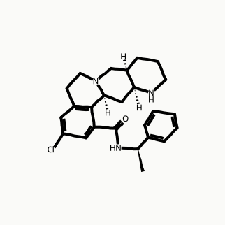 C[C@@H](NC(=O)c1cc(Cl)cc2c1[C@@H]1C[C@@H]3NCCC[C@@H]3CN1CC2)c1ccccc1